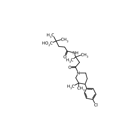 CC(C)(CC(=O)N1CCC(c2ccc(Cl)cc2)C(C)(C)C1)NC(=O)CCC(C)(C)C(=O)O